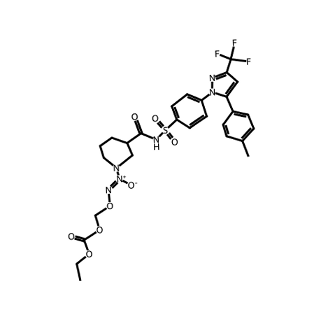 CCOC(=O)OCO/N=[N+](\[O-])N1CCCC(C(=O)NS(=O)(=O)c2ccc(-n3nc(C(F)(F)F)cc3-c3ccc(C)cc3)cc2)C1